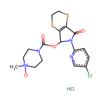 C[N+]1([O-])CCN(C(=O)OC2C3=C(SCCS3)C(=O)N2c2ccc(Cl)cn2)CC1.Cl